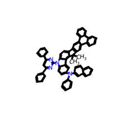 CC1(C)c2cc3c4ccccc4c4ccccc4c3cc2-c2ccc3c(c21)c1cc(N(c2ccccc2)c2ccc4ccccc4c2)ccc1n3-c1nc(-c2ccccc2)cc(-c2ccccc2)n1